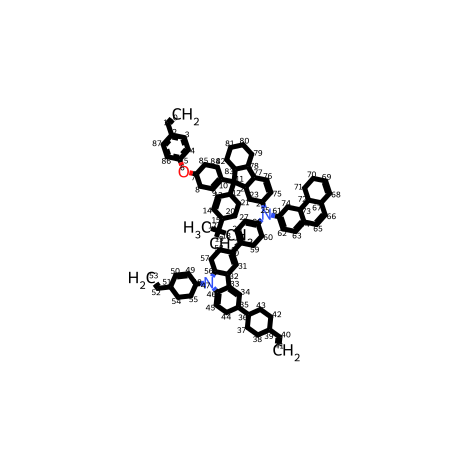 C=Cc1ccc(OC2CC=C(C3(C4C=CC(C(C)(C)C)CC4)C4CC(N(C5=CC=C(C6=CC7C8=CC(C9CCC(C=C)CC9)CC=C8N(C8C=CC(C=C)CC8)C7CC6)CC5)C5=CC=C6C=CC7C=CCCC7C6C5)C=CC4C4CCCCC43)CC2)cc1